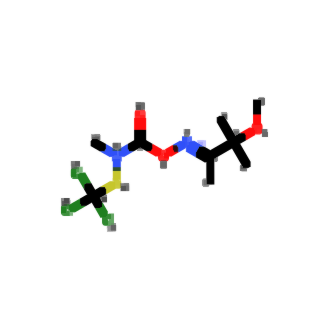 COC(C)(C)/C(C)=N/OC(=O)N(C)SC(Cl)(Cl)Cl